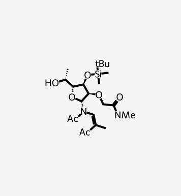 CNC(=O)CO[C@@H]1[C@H](O[Si](C)(C)C(C)(C)C)[C@@H]([C@@H](C)O)O[C@H]1N(/C=C(/C)C(C)=O)C(C)=O